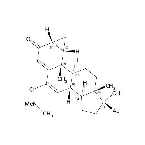 CC(=O)[C@@]1(O)CC[C@H]2[C@@H]3C=C(Cl)C4=CC(=O)[C@@H]5C[C@@H]5[C@]4(C)[C@H]3CC[C@@]21C.CNC